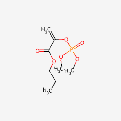 C=C(OP(=O)(OC)OC)C(=O)OCCC